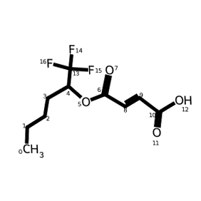 CCCCC(OC(=O)C=CC(=O)O)C(F)(F)F